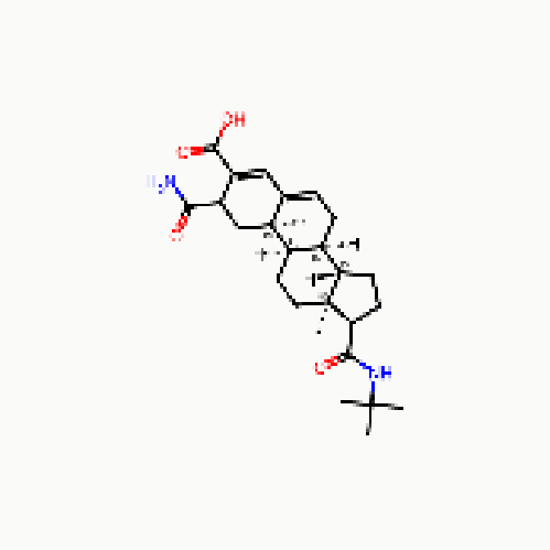 CC(C)(C)NC(=O)C1CC[C@H]2[C@@H]3CC=C4C=C(C(=O)O)C(C(N)=O)C[C@]4(C)[C@@H]3CC[C@]12C